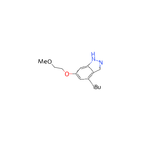 CCC(C)c1cc(OCCOC)cc2[nH]ncc12